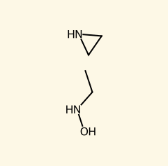 C1CN1.CCNO